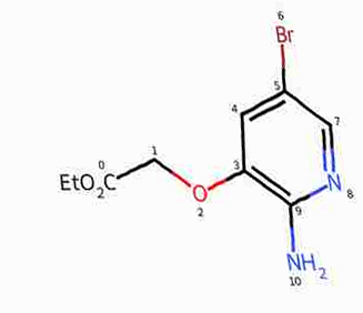 CCOC(=O)COc1cc(Br)cnc1N